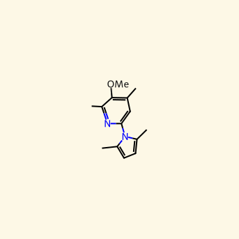 COc1c(C)cc(-n2c(C)ccc2C)nc1C